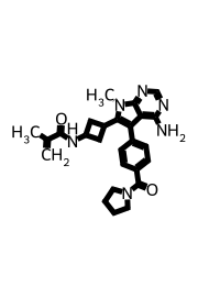 C=C(C)C(=O)NC1CC(c2c(-c3ccc(C(=O)N4CCCC4)cc3)c3c(N)ncnc3n2C)C1